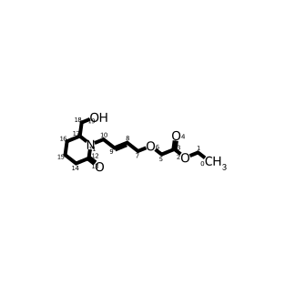 CCOC(=O)COCC=CCN1C(=O)CCCC1CO